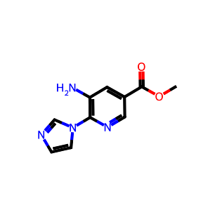 COC(=O)c1cnc(-n2ccnc2)c(N)c1